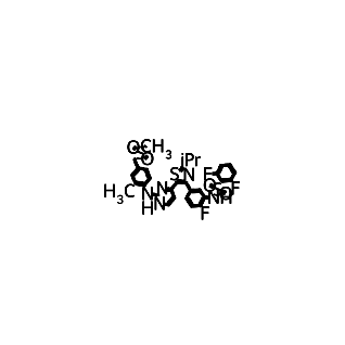 Cc1cc(CS(C)(=O)=O)ccc1Nc1nccc(-c2sc(C(C)C)nc2-c2ccc(F)c(NS(=O)(=O)c3c(F)cccc3F)c2)n1